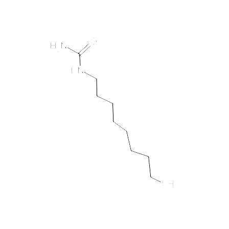 CCCCCCCCCNC(N)=O